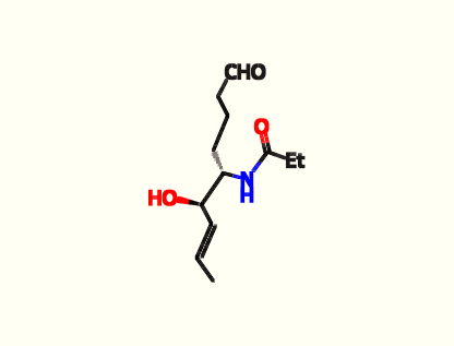 C/C=C/[C@@H](O)[C@H](CCCC=O)NC(=O)CC